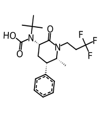 C[C@@H]1[C@H](c2ccccc2)C[C@H](N(C(=O)O)C(C)(C)C)C(=O)N1CCC(F)(F)F